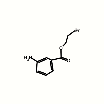 CC(C)CCOC(=O)c1cccc(N)c1